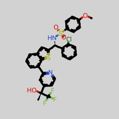 COc1ccc(S(=O)(=O)N[C@@H](c2cc3cccc(-c4cc([C@@](C)(O)C(F)(F)F)ccn4)c3s2)c2ccccc2Cl)cc1